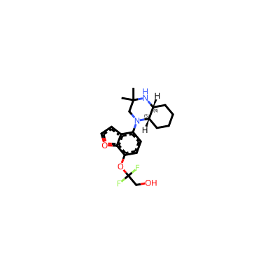 CC1(C)CN(c2ccc(OC(F)(F)CO)c3occc23)[C@H]2CCCC[C@H]2N1